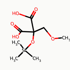 COCC(O[Si](C)(C)C)(C(=O)O)C(=O)O